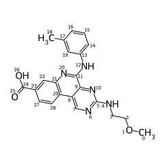 COCCNc1ncc2c(n1)c(Nc1cccc(C)c1)nc1cc(C(=O)O)ccc12